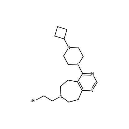 CC(C)CCN1CCc2ncnc(N3CCN(C4CCC4)CC3)c2CC1